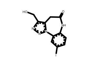 O=C1Cc2c(CO)nnn2-c2cc(I)ccc2N1